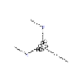 CCCCCCCC/C=C\CCCCCCCC(=O)OCC(OC(=O)CCCCCCC/C=C\CCCCCCCC)C(O)C(=O)CCCCCCCCCCCCCCCCC